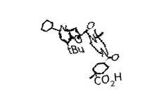 CC(C)(C)c1cc(C2CCCCC2)nc2cc(C(=O)N3CCN(C(=O)[C@H]4CC[C@](C)(C(=O)O)CC4)CC3(C)C)oc12